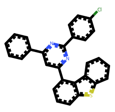 Clc1ccc(-c2nc(-c3ccccc3)cc(-c3cccc4sc5ccccc5c34)n2)cc1